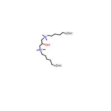 CCCCCCCCCCCCCCC[N+](C)(C)CC(O)C[N+](C)(C)CCCCCCCCCCCCCCC